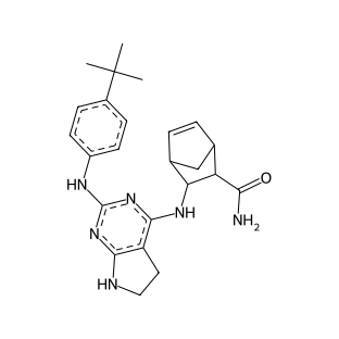 CC(C)(C)c1ccc(Nc2nc3c(c(NC4C5C=CC(C5)C4C(N)=O)n2)CCN3)cc1